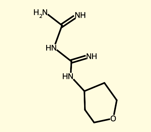 N=C(N)NC(=N)NC1CCOCC1